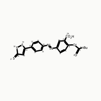 CCCCC(=O)Oc1ccc(N=Nc2ccc(-c3cc(=S)ss3)cc2)cc1C(=O)O